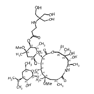 CC[C@H]1OC(=O)[C@H](C)[C@@H](O[C@H]2C[C@@](C)(OC)[C@@H](OC(=O)CCNC(CO)(CO)CO)[C@H](C)O2)[C@H](C)[C@@H](O[C@@H]2O[C@H](C)C[C@H](N(C)C)[C@H]2O)[C@](C)(OC)C[C@@H](C)C(=O)N[C@H](C)[C@@H](O)[C@]1(C)O